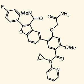 CNC(=O)c1c(-c2ccc(F)cc2)oc2ccc(-c3cc(C(=O)N(c4ccccn4)C4CC4)c(OC)cc3OCC(N)=O)cc12